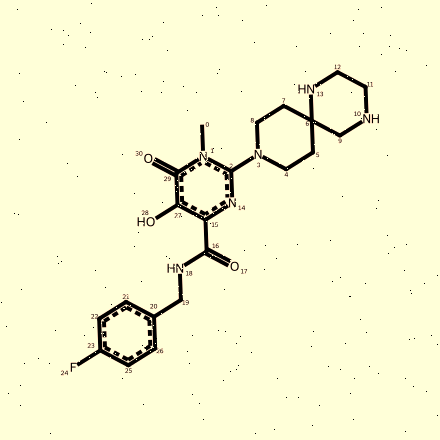 Cn1c(N2CCC3(CC2)CNCCN3)nc(C(=O)NCc2ccc(F)cc2)c(O)c1=O